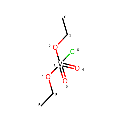 CC[O][V](=[O])(=[O])([Cl])[O]CC